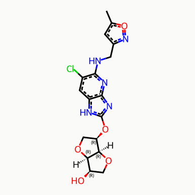 Cc1cc(CNc2nc3nc(O[C@@H]4CO[C@H]5[C@@H]4OC[C@H]5O)[nH]c3cc2Cl)no1